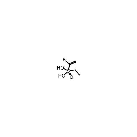 C=C(F)S(=O)(O)(O)CC